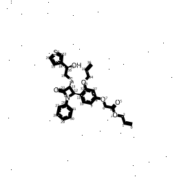 C=CCOC(=O)COc1ccc([C@@H]2[C@@H](SC[C@H](O)c3ccsc3)C(=O)N2c2ccccc2)c(OCC=C)c1